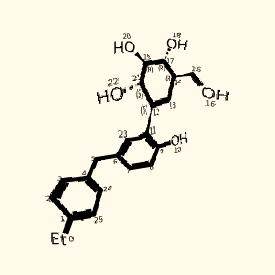 CCc1ccc(Cc2ccc(O)c([C@@H]3C[C@H](CO)[C@@H](O)[C@H](O)[C@H]3O)c2)cc1